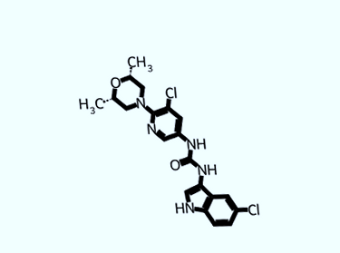 C[C@@H]1CN(c2ncc(NC(=O)Nc3c[nH]c4ccc(Cl)cc34)cc2Cl)C[C@H](C)O1